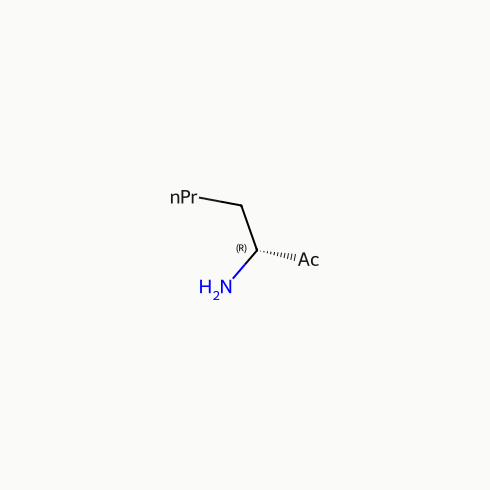 CCCC[C@@H](N)C(C)=O